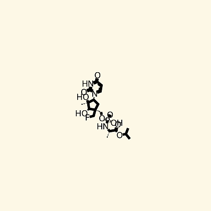 CC(C)OC(=O)[C@H](C)NP(=O)(O)OC[C@@]1(CF)C[C@@H](n2ccc(=O)[nH]c2=O)[C@](C)(O)[C@@H]1O